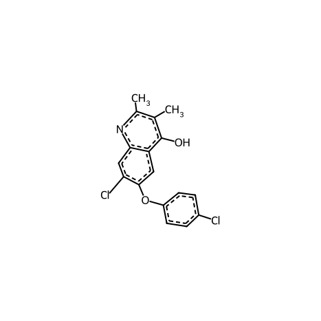 Cc1nc2cc(Cl)c(Oc3ccc(Cl)cc3)cc2c(O)c1C